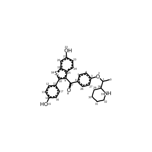 CC(Oc1ccc(C(=O)c2c(-c3ccc(O)cc3)sc3cc(O)ccc23)cc1)C1CCCCN1